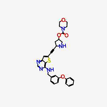 O=C(OC1CNC(C#Cc2cc3ncnc(NCc4cccc(Oc5ccccc5)c4)c3s2)C1)N1CCOCC1